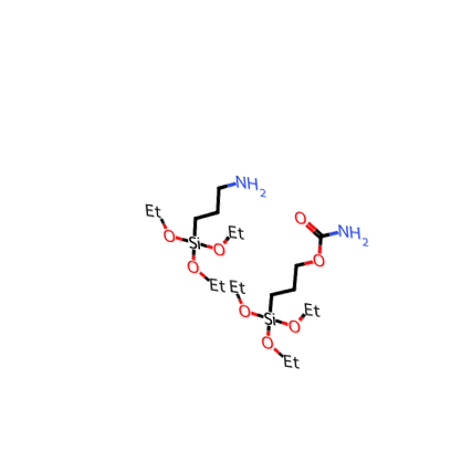 CCO[Si](CCCN)(OCC)OCC.CCO[Si](CCCOC(N)=O)(OCC)OCC